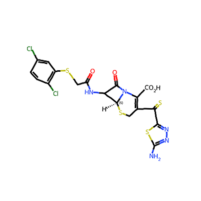 Nc1nnc(C(=S)C2=C(C(=O)O)N3C(=O)C(NC(=O)CSc4cc(Cl)ccc4Cl)[C@@H]3SC2)s1